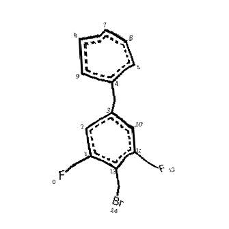 Fc1cc(-c2ccccc2)cc(F)c1Br